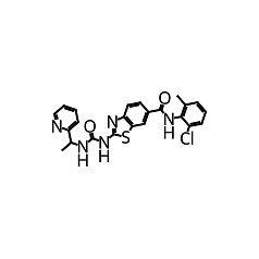 Cc1cccc(Cl)c1NC(=O)c1ccc2nc(NC(=O)NC(C)c3ccccn3)sc2c1